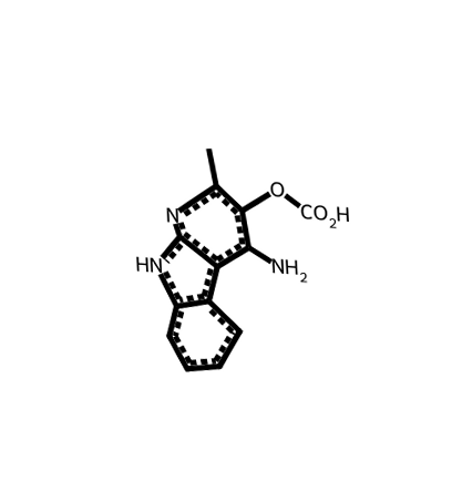 Cc1nc2[nH]c3ccccc3c2c(N)c1OC(=O)O